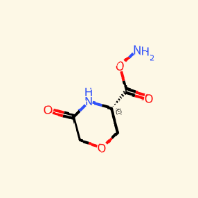 NOC(=O)[C@@H]1COCC(=O)N1